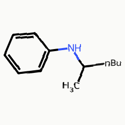 C[CH]CCC(C)Nc1ccccc1